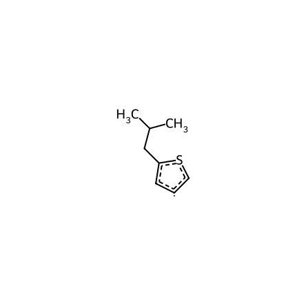 CC(C)Cc1c[c]cs1